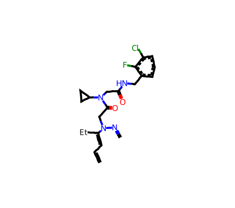 C=C/C=C(\CC)N(CC(=O)N(CC(=O)NCc1cccc(Cl)c1F)C1CC1)N=C